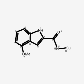 COc1cccc2[nH]c(C(=O)NC(C)(C)C)cc12